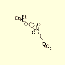 CCN(CC)CCOc1ccc2c(c1)C(=O)N(CCCCCCO[N+](=O)[O-])C2=O